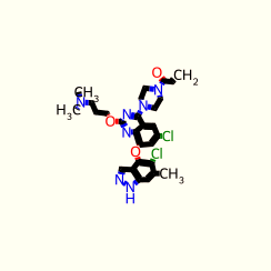 C=CC(=O)N1CCN(c2nc(OCCCN(C)C)nc3c(Oc4c(Cl)c(C)cc5[nH]ncc45)cc(Cl)cc23)CC1